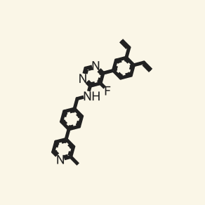 C=Cc1ccc(-c2ncnc(NCc3ccc(-c4ccnc(C)c4)cc3)c2F)cc1C=C